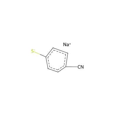 N#Cc1ccc([S-])cc1.[Na+]